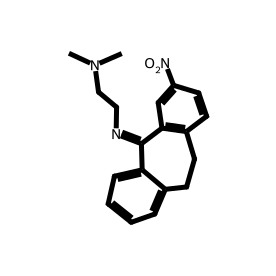 CN(C)CCN=C1c2ccccc2CCc2ccc([N+](=O)[O-])cc21